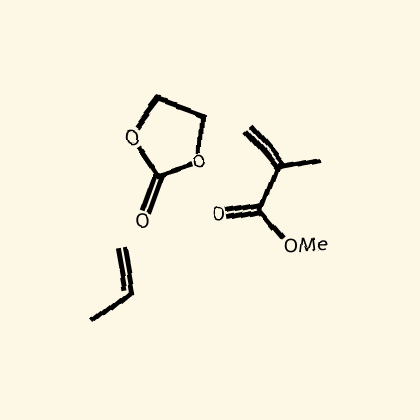 C=C(C)C(=O)OC.C=CC.O=C1OCCO1